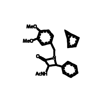 COc1ccc(CN2C(=O)C(NC(C)=O)C2c2ccccc2)cc1OC.c1cc2cc-2c1